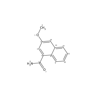 COc1cc(C(N)=O)c2ccccc2c1